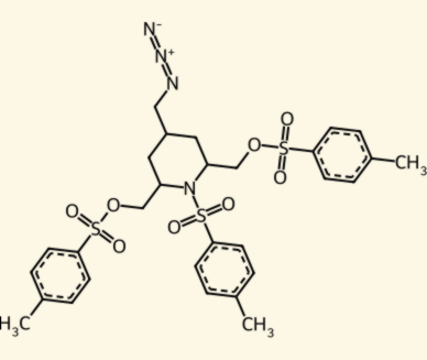 Cc1ccc(S(=O)(=O)OCC2CC(CN=[N+]=[N-])CC(COS(=O)(=O)c3ccc(C)cc3)N2S(=O)(=O)c2ccc(C)cc2)cc1